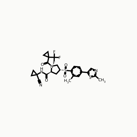 Cc1ncc(-c2ccc(S(=O)(=O)[C@@H]3C[C@@H](C(=O)NC4(C#N)CC4)N(C(=O)C4(C(F)(F)F)CC4)C3)c(C)c2)s1